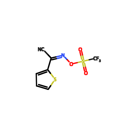 N#C/C(=N/OS(=O)(=O)C(F)(F)F)c1cccs1